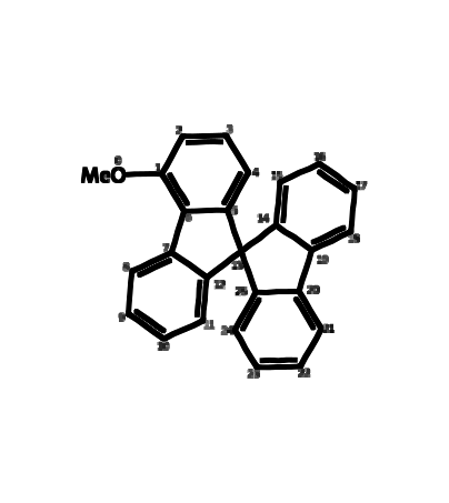 COc1cccc2c1-c1ccccc1C21c2ccccc2-c2ccccc21